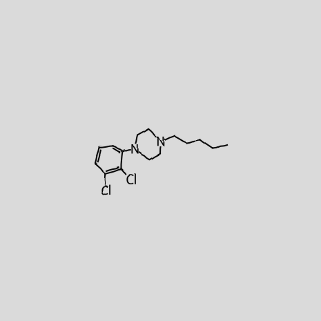 CCCCCN1CCN(c2cccc(Cl)c2Cl)CC1